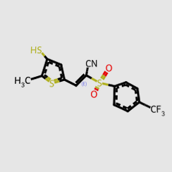 Cc1sc(/C=C(\C#N)S(=O)(=O)c2ccc(C(F)(F)F)cc2)cc1S